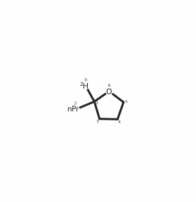 [2H]C1(CCC)CCCO1